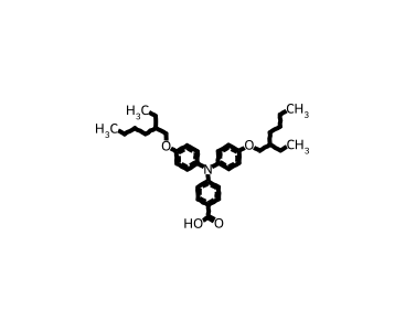 CCCCC(CC)COc1ccc(N(c2ccc(OCC(CC)CCCC)cc2)c2ccc(C(=O)O)cc2)cc1